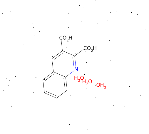 O.O.O.O=C(O)c1cc2ccccc2nc1C(=O)O